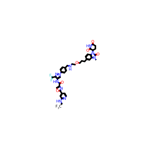 Cn1c(=O)n(C2CCC(=O)NC2=O)c2ccc(CCCOCCNCc3ccc(-n4cc(NC(=O)c5coc(-c6ccnc(NCC(F)(F)F)c6)n5)c(C(F)F)n4)cc3)cc21